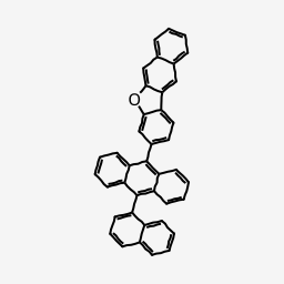 c1ccc2cc3c(cc2c1)oc1cc(-c2c4ccccc4c(-c4cccc5ccccc45)c4ccccc24)ccc13